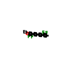 CCOc1ccc(-c2ccc(-c3ccc(-c4ccc(C)c(F)c4F)cc3)cc2)c(F)c1F